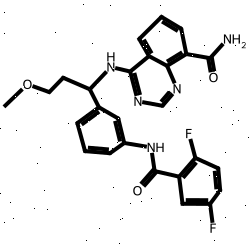 COCCC(Nc1ncnc2c(C(N)=O)cccc12)c1cccc(NC(=O)c2cc(F)ccc2F)c1